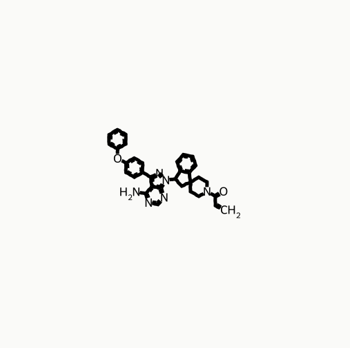 C=CC(=O)N1CCC2(CC1)CC(n1nc(-c3ccc(Oc4ccccc4)cc3)c3c(N)ncnc31)c1ccccc12